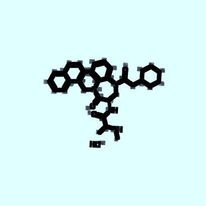 CNC(C)C(=O)N[C@H]1CN(C(=O)CC2CCCCC2)c2ccccc2N(Cc2c(C)ccc3ccccc23)C1=O.Cl